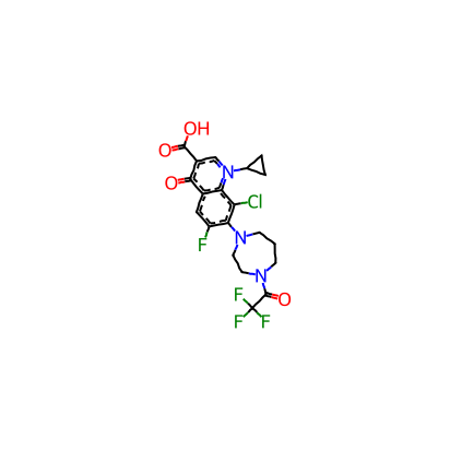 O=C(O)c1cn(C2CC2)c2c(Cl)c(N3CCCN(C(=O)C(F)(F)F)CC3)c(F)cc2c1=O